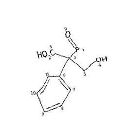 O=PC(CO)(C(=O)O)c1ccccc1